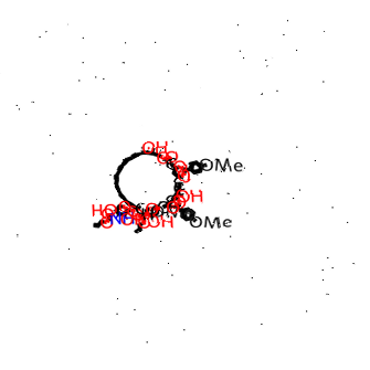 C=CCOC(=O)N[C@H]1[C@H](O)COC(OC2/C=C/C=C/C=C/C=C/C=C/C=C/C=C/[C@H](C)[C@@H](O)[C@@H](C)[C@H](C)OC(=O)CC3CC(CCC(O)C4CC(CC5(OC)C[C@H](O)[C@@H](C(=O)OCC=C)[C@H](C2)O5)OC(c2ccc(OC)cc2)O4)OC(c2ccc(OC)cc2)O3)[C@H]1O